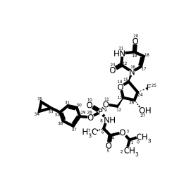 CC(C)OC(=O)[C@H](C)NP(=O)(OC[C@H]1O[C@@H](n2ccc(=O)[nH]c2=O)[C@H](F)[C@@H]1O)Oc1ccc(C2CC2)cc1